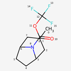 CC1CC2CCC(C1)N2C(=O)OC(F)(F)F